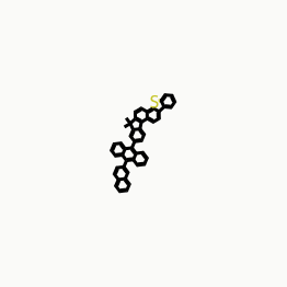 CC1(C)c2cc(-c3c4ccccc4c(-c4ccc5ccccc5c4)c4ccccc34)ccc2-c2c1ccc1c2ccc2c3ccccc3sc12